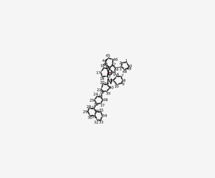 c1ccc(-c2c(-c3ccccc3N(c3ccccc3)c3ccc(-c4ccc(-c5cccc6ccccc56)cc4)cc3)oc3ccccc23)cc1